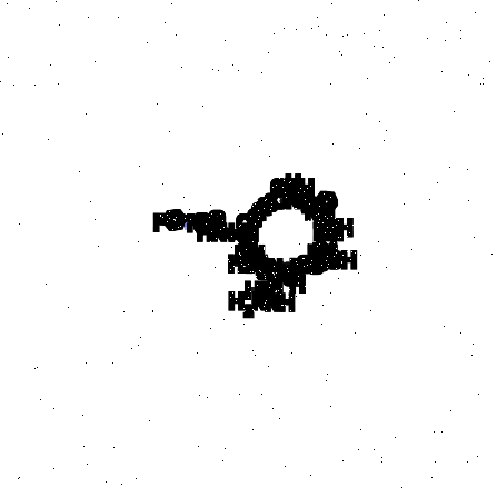 CNC(=O)[C@@H]1CSCCCC(=O)N[C@@H](CCCCNC(=O)CO/N=C/c2ccc(F)cc2)C(=O)N[C@@H](CS)C(=O)N[C@@H](CCCNC(=N)N)C(=O)NCC(=O)N[C@@H](CC(=O)O)C(=O)N[C@@H](CS)C(=O)N[C@@H](Cc2ccccc2)C(=O)N1